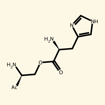 CC(=O)[C@@H](N)COC(=O)[C@@H](N)Cc1c[nH]cn1